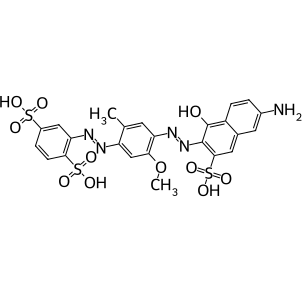 COc1cc(N=Nc2cc(S(=O)(=O)O)ccc2S(=O)(=O)O)c(C)cc1N=Nc1c(S(=O)(=O)O)cc2cc(N)ccc2c1O